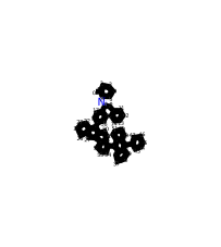 Cc1ccccc1/N=C(\Cc1ccccc1)c1ccc(-c2c3ccccc3cc3c2ccc2c(-c4c5ccccc5c(-c5ccccc5)c5ccccc45)cccc23)cc1